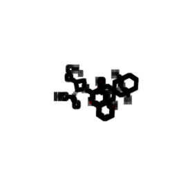 CO[C@H]1CN(c2nc3ccccc3n([C@H]3C[C@H]4CCC[C@@H](C3)N4[C@H]3C[C@@H]4CCC[C@@H](C4)C3)c2=O)[C@@H]1C(=O)O